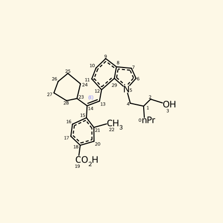 CCCC(CO)Cn1ccc2cccc(/C=C(/c3ccc(C(=O)O)cc3C)C3CCCCC3)c21